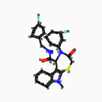 Cn1c2c(c3ccccc31)C(C(=O)NCc1ccc(F)cc1)N(c1cccc(F)c1)C(=O)CS2